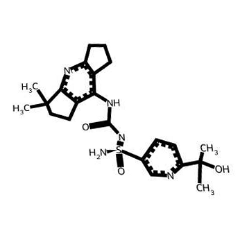 CC(C)(O)c1ccc([S@](N)(=O)=NC(=O)Nc2c3c(nc4c2CCC4(C)C)CCC3)cn1